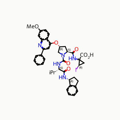 COc1ccc2c(O[C@@H]3C[C@@H](C(=O)N[C@]4(C(=O)O)C[C@H]4I)N(C(=O)N[C@H](C(=O)N[C@@H]4CCc5ccccc54)C(C)C)C3)cc(-c3ccccc3)nc2c1